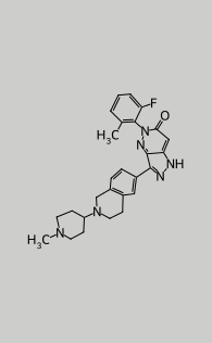 Cc1cccc(F)c1-n1nc2c(-c3ccc4c(c3)CCN(C3CCN(C)CC3)C4)n[nH]c2cc1=O